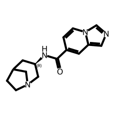 O=C(N[C@@H]1CC2CCN(C2)C1)c1ccn2cncc2c1